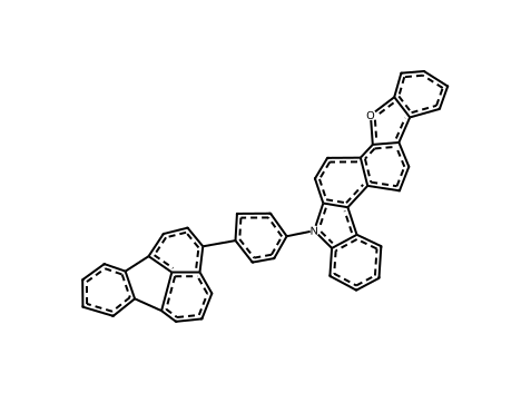 c1ccc2c(c1)-c1cccc3c(-c4ccc(-n5c6ccccc6c6c7ccc8c9ccccc9oc8c7ccc65)cc4)ccc-2c13